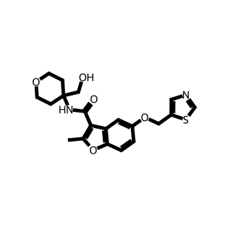 Cc1oc2ccc(OCc3cncs3)cc2c1C(=O)NC1(CO)CCOCC1